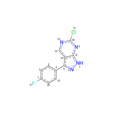 Fc1ccc(-c2n[nH]c3nc(Cl)ncc23)cc1